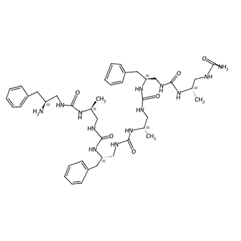 C[C@@H](CNC(N)=O)NC(=O)NC[C@H](Cc1ccccc1)NC(=O)NC[C@H](C)NC(=O)NC[C@H](Cc1ccccc1)NC(=O)NC[C@H](C)NC(=O)NC[C@@H](N)Cc1ccccc1